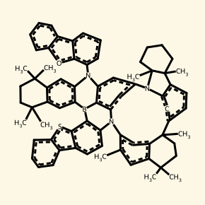 Cc1cc2c3cc1N1c4cc(cc5c4B(c4cc6c(cc4N5c4cccc5c4oc4ccccc45)C(C)(C)CCC6(C)C)c4c1ccc1c4sc4ccccc41)N1c4cc(ccc4C4(C)CCCCC14C)C3(C)CCC2(C)C